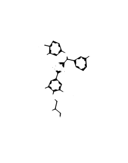 Cc1ccc(SC(c2cccc(Cl)c2)c2nc(-c3cc(C)c(OCC(O)CO)c(C)c3)no2)cc1C